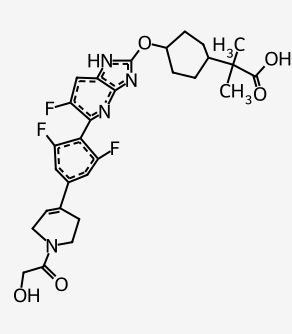 CC(C)(C(=O)O)C1CCC(Oc2nc3nc(-c4c(F)cc(C5=CCN(C(=O)CO)CC5)cc4F)c(F)cc3[nH]2)CC1